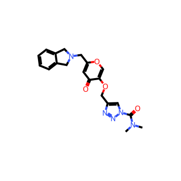 CN(C)C(=O)n1cc(COc2coc(CN3Cc4ccccc4C3)cc2=O)nn1